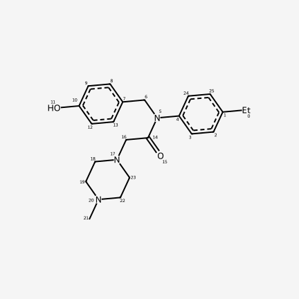 CCc1ccc(N(Cc2ccc(O)cc2)C(=O)CN2CCN(C)CC2)cc1